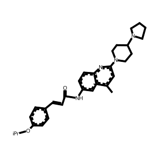 Cc1cc(N2CCC(N3CCCC3)CC2)nc2ccc(NC(=O)C=Cc3ccc(OC(C)C)cc3)cc12